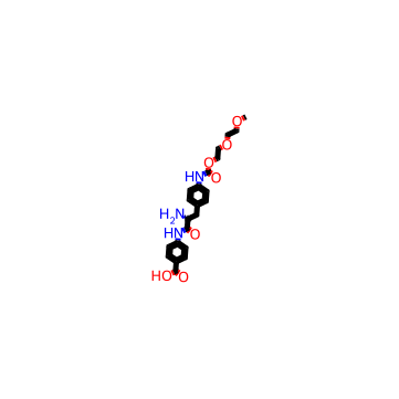 COCCOCCOC(=O)Nc1ccc(C[C@H](N)C(=O)Nc2ccc(C(=O)O)cc2)cc1